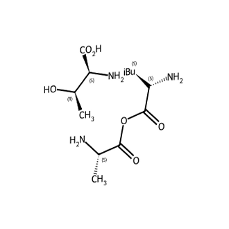 CC[C@H](C)[C@H](N)C(=O)OC(=O)[C@H](C)N.C[C@@H](O)[C@H](N)C(=O)O